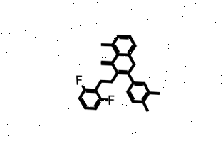 C=C1C(CCc2c(F)cccc2F)=C(c2ccc(C)c(C)c2)Cc2cccc(C)c21